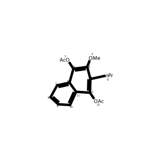 CCCc1c(OC)c(OC(C)=O)c2ccccc2c1OC(C)=O